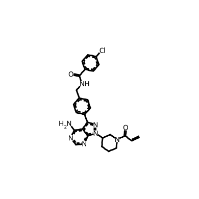 C=CC(=O)N1CCCC(n2nc(-c3ccc(CNC(=O)c4ccc(Cl)cc4)cc3)c3c(N)ncnc32)C1